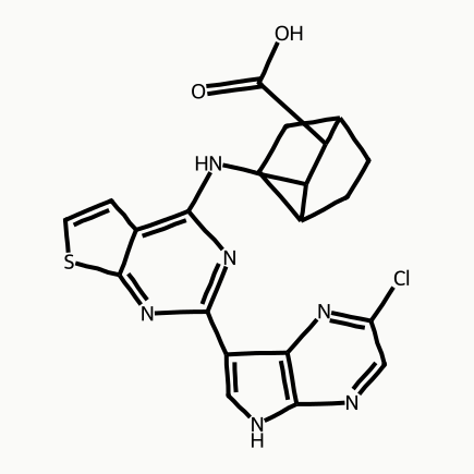 O=C(O)C1C2CCC(CC2)C1Nc1nc(-c2c[nH]c3ncc(Cl)nc23)nc2sccc12